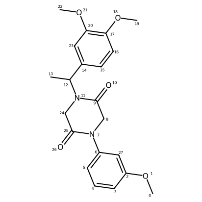 COc1cccc(N2CC(=O)N(C(C)c3ccc(OC)c(OC)c3)CC2=O)c1